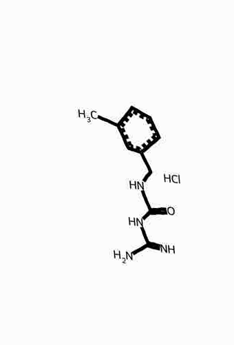 Cc1cccc(CNC(=O)NC(=N)N)c1.Cl